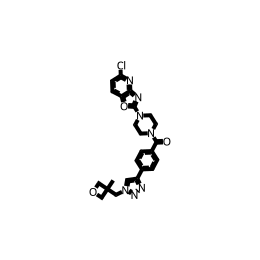 CC1(Cn2cc(-c3ccc(C(=O)N4CCN(c5nc6nc(Cl)ccc6o5)CC4)cc3)nn2)COC1